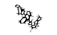 CC1(C)c2ccccc2-c2ccc(-c3c4ccccc4c(-c4ccc(-c5cccc6oc7cc8ccccc8cc7c56)cc4)c4ccccc34)cc21